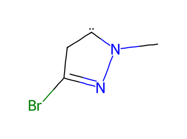 CN1[C]CC(Br)=N1